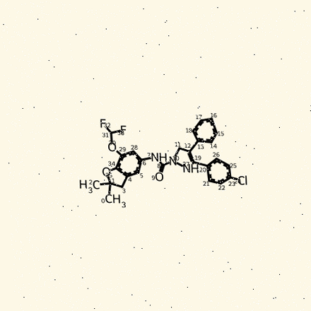 CC1(C)Cc2cc(NC(=O)N3CC(c4ccccc4)=C(c4ccc(Cl)cc4)N3)cc(OC(F)F)c2O1